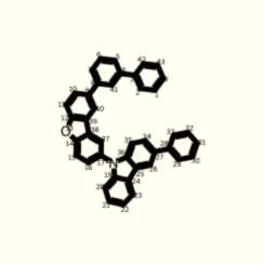 c1ccc(-c2cccc(-c3ccc4oc5ccc(-n6c7ccccc7c7cc(-c8ccccc8)ccc76)cc5c4c3)c2)cc1